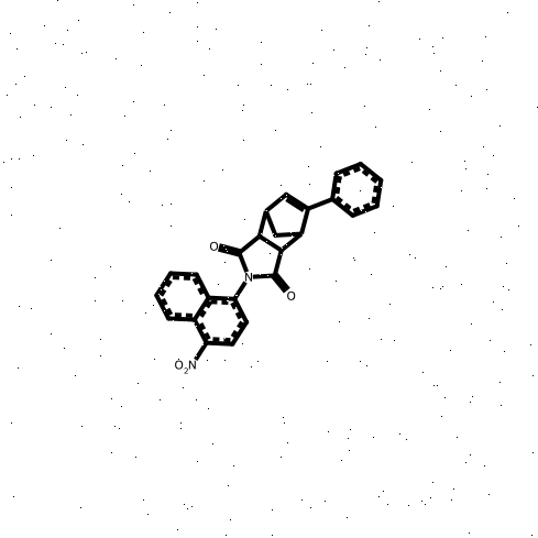 O=C1C2C3C=C(c4ccccc4)C(C3)C2C(=O)N1c1ccc([N+](=O)[O-])c2ccccc12